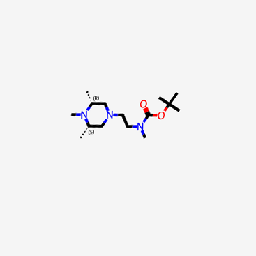 C[C@@H]1CN(CCN(C)C(=O)OC(C)(C)C)C[C@H](C)N1C